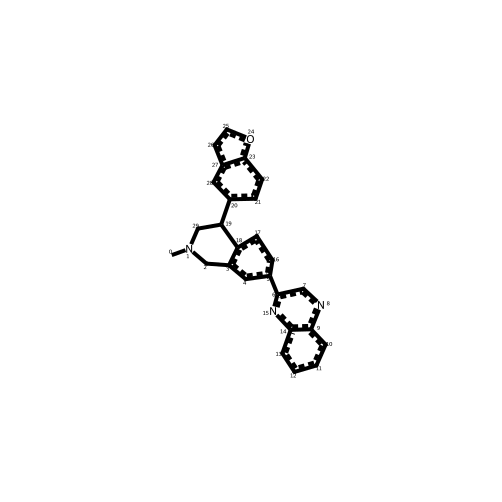 CN1Cc2cc(-c3cnc4ccccc4n3)ccc2C(c2ccc3occc3c2)C1